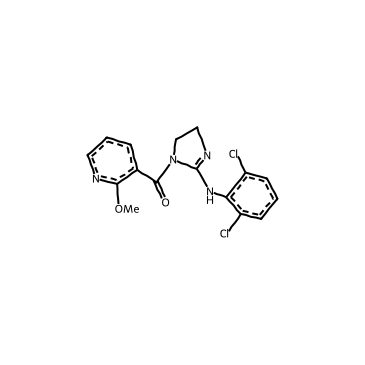 COc1ncccc1C(=O)N1CCN=C1Nc1c(Cl)cccc1Cl